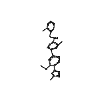 COc1cc(-c2cc(C)c(NCc3ccccc3C)nn2)ccc1-n1cnc(C)c1